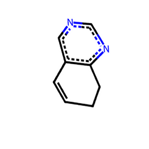 C1=Cc2cncnc2CC1